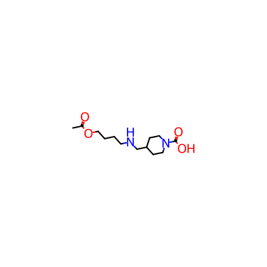 CC(=O)OCCCCNCC1CCN(C(=O)O)CC1